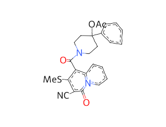 CSc1c(C#N)c(=O)n2ccccc2c1C(=O)N1CCC(OC(C)=O)(c2ccccc2)CC1